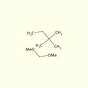 CCC(C)(C)C.COCOC